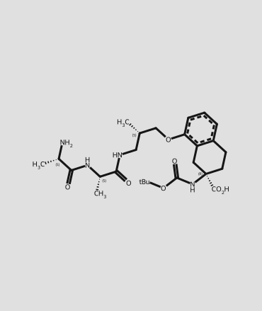 C[C@@H](CNC(=O)[C@H](C)NC(=O)[C@H](C)N)COc1cccc2c1C[C@@](NC(=O)OC(C)(C)C)(C(=O)O)CC2